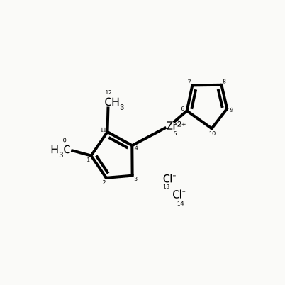 CC1=CC[C]([Zr+2][C]2=CC=CC2)=C1C.[Cl-].[Cl-]